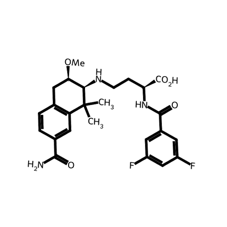 CO[C@@H]1Cc2ccc(C(N)=O)cc2C(C)(C)[C@@H]1NCC[C@H](NC(=O)c1cc(F)cc(F)c1)C(=O)O